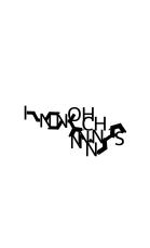 Cc1c(C(O)N2CCN(CCI)CC2)cnn1-c1nccc(-c2cccs2)n1